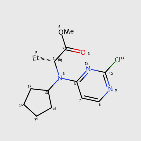 CC[C@H](C(=O)OC)N(c1ccnc(Cl)n1)C1CCCC1